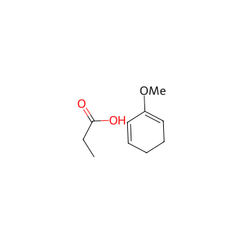 CCC(=O)O.COC1=CCCC=C1